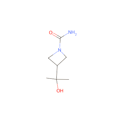 CC(C)(O)C1CN(C(N)=O)C1